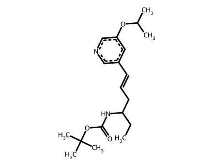 CCC(CC=Cc1cncc(OC(C)C)c1)NC(=O)OC(C)(C)C